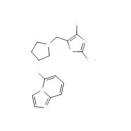 CC(=O)Nc1nc(F)c(CN2C[C@H](Oc3cccc4nccn34)C[C@@H]2C)s1